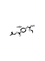 Br.C=C(C)COC(=O)N1CCN(SC(=N)OCC)CC1